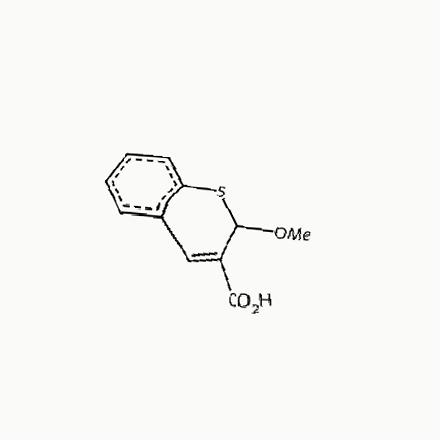 COC1Sc2ccccc2C=C1C(=O)O